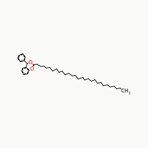 CCCCCCCCCCCCCCCCCCCCCCCCCCCCC(=O)OC(c1ccccc1)c1ccccc1